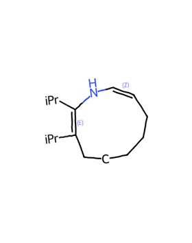 CC(C)/C1=C(\C(C)C)N/C=C\CCCCC1